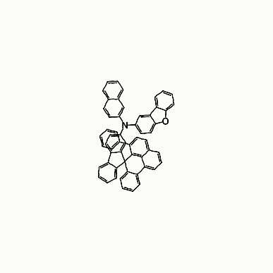 c1ccc(-c2ccc3cccc4c3c2C2(c3ccccc3-c3ccc(N(c5ccc6ccccc6c5)c5ccc6oc7ccccc7c6c5)cc32)c2ccccc2-4)cc1